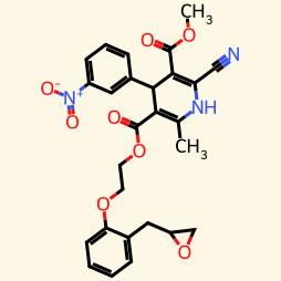 COC(=O)C1=C(C#N)NC(C)=C(C(=O)OCCOc2ccccc2CC2CO2)C1c1cccc([N+](=O)[O-])c1